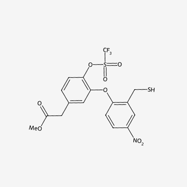 COC(=O)Cc1ccc(OS(=O)(=O)C(F)(F)F)c(Oc2ccc([N+](=O)[O-])cc2CS)c1